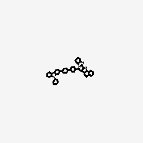 c1ccc(-n2c3ccccc3c3ccc(-c4ccc(-c5ccc(-c6cc7c8ccc9ccccc9c8sc7c7nc8ccccc8n67)cc5)cc4)cc32)cc1